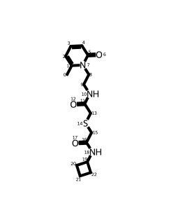 Cc1cccc(=O)n1CCNC(=O)CSCC(=O)NC1CCC1